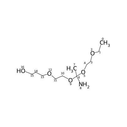 CCOCCOC(C)(N)OCCOCCCO